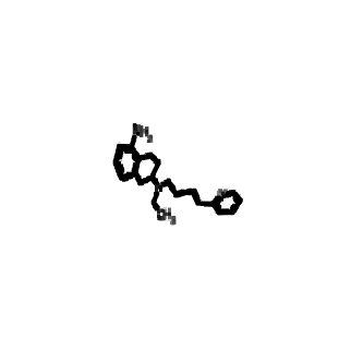 CCN(CCCCc1ccccn1)C1CCc2c(N)cccc2C1